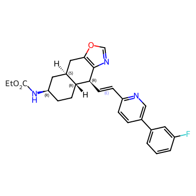 CCOC(=O)N[C@@H]1CC[C@@H]2[C@H](Cc3ocnc3[C@H]2/C=C/c2ccc(-c3cccc(F)c3)cn2)C1